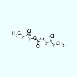 CCC(Cl)COC(=O)OCC(Cl)CC